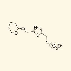 CCOC(=O)CCc1cnc(COC2CCCCO2)s1